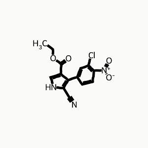 CCOC(=O)c1c[nH]c(C#N)c1-c1ccc([N+](=O)[O-])c(Cl)c1